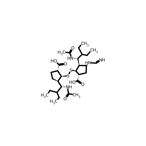 CCC(CC)[C@@H](NC(C)=O)[C@H]1CC[C@H](C(=O)O)[C@H]1SS[C@H]1[C@@H]([C@H](NC(C)=O)C(CC)CC)[C@H](NC=N)C[C@@H]1C(=O)O